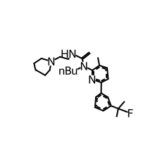 C=C(NCCN1CCCCC1)N(CCCC)c1nc(-c2cccc(C(C)(C)F)c2)ccc1C